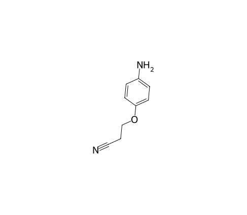 N#CCCOc1ccc(N)cc1